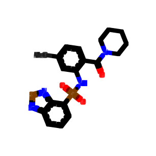 COc1ccc(C(=O)N2CCCCC2)c(NS(=O)(=O)c2cccc3nsnc23)c1